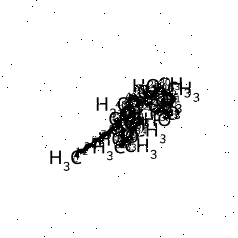 CCCCCCCCCCOC(=O)NC1C=C[C@]2(O[C@H](C(CC)C(=O)[C@@H](C)[C@@H](O)[C@H](C)[C@@H]3O[C@@H](C(CC)C(=O)O)CC[C@@H]3C)[C@@H](C)C[C@H]2C)O[C@@]12CC[C@@](C)([C@H]1CC[C@](O)(CC)[C@H](C)O1)O2